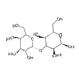 OCC1O[C@@H](O)[C@@H](O)C(O[C@H]2OC(CO)[C@H](O)[C@H](O)C2O)[C@H]1O